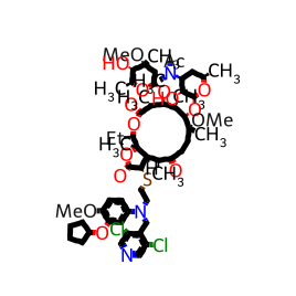 CC[C@H]1OC(=O)[C@H](C)[C@@H](O[C@H]2C[C@@](C)(OC)[C@@H](O)[C@H](C)O2)[C@H](C)[C@@H](O[C@@H]2O[C@H](C)C[C@H](N(C)C(C)=O)[C@H]2O)[C@](C)(OC)CCC(=O)[C@H](C)[C@H]2[C@H](SCCN(Cc3c(Cl)cncc3Cl)c3ccc(OC)c(OC4CCCC4)c3)C(=O)O[C@@]21C